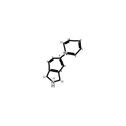 c1cc[n+](-c2ccc3c(c2)CNC3)cc1